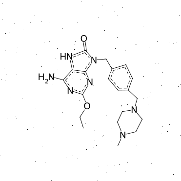 CCOc1nc(N)c2[nH]c(=O)n(Cc3ccc(CN4CCN(C)CC4)cc3)c2n1